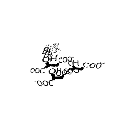 O=C([O-])CC(O)C(=O)[O-].O=C([O-])CC(O)C(=O)[O-].O=C([O-])CC(O)C(=O)[O-].[Bi+3].[Bi+3]